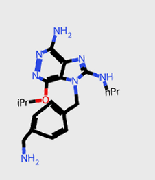 CCCNc1nc2c(N)nnc(OC(C)C)c2n1Cc1ccc(CN)cc1